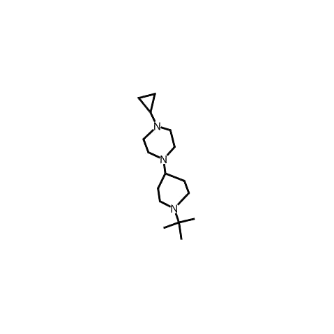 CC(C)(C)N1CCC(N2CCN(C3CC3)CC2)CC1